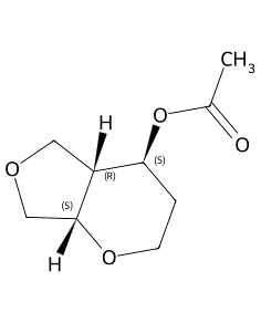 CC(=O)O[C@H]1CCO[C@@H]2COC[C@H]12